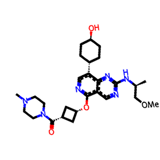 COC[C@H](C)Nc1ncc2c(O[C@H]3C[C@@H](C(=O)N4CCN(C)CC4)C3)ncc([C@H]3CC[C@H](O)CC3)c2n1